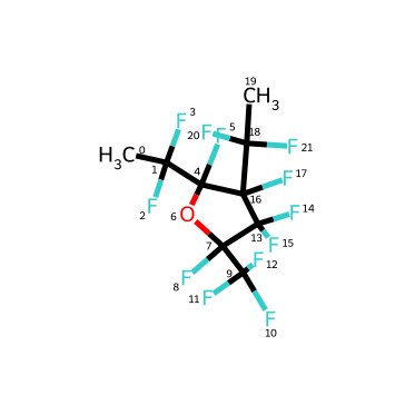 CC(F)(F)C1(F)OC(F)(C(F)(F)F)C(F)(F)C1(F)C(C)(F)F